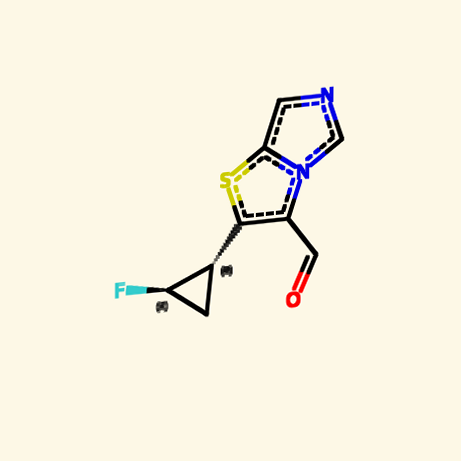 O=Cc1c([C@@H]2C[C@H]2F)sc2cncn12